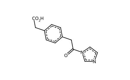 O=C(O)Cc1ccc(CC(=O)n2ccnc2)cc1